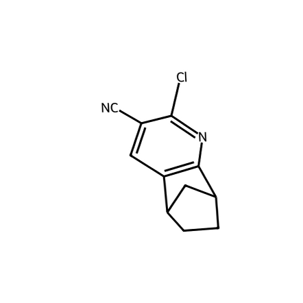 N#Cc1cc2c(nc1Cl)C1CCC2C1